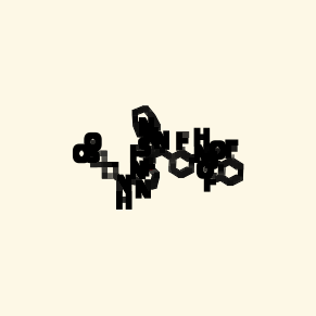 O=S1(=O)CC2(CC(Nc3nccc(-c4sc(N5C6CCC5CN(CC(F)F)C6)nc4-c4cccc(NS(=O)(=O)c5c(F)cccc5F)c4F)n3)C2)C1